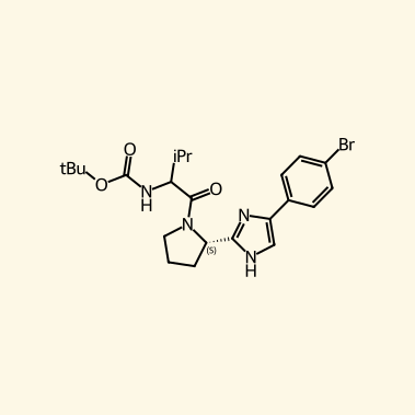 CC(C)C(NC(=O)OC(C)(C)C)C(=O)N1CCC[C@H]1c1nc(-c2ccc(Br)cc2)c[nH]1